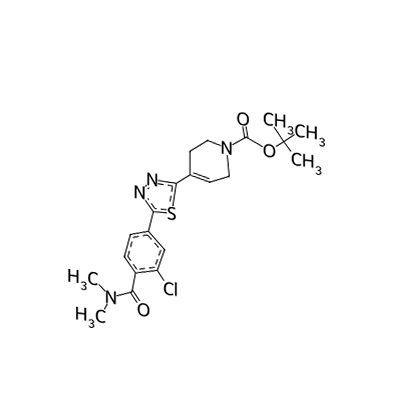 CN(C)C(=O)c1ccc(-c2nnc(C3=CCN(C(=O)OC(C)(C)C)CC3)s2)cc1Cl